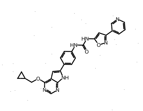 O=C(Nc1ccc(-c2cc3c(OCC4CC4)ncnc3[nH]2)cc1)Nc1cc(-c2cccnc2)no1